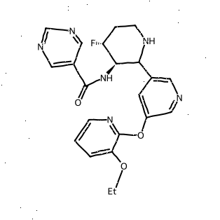 CCOc1cccnc1Oc1cncc(C2NCC[C@@H](F)[C@@H]2NC(=O)c2cncnc2)c1